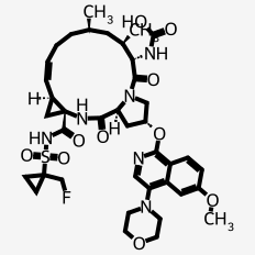 COc1ccc2c(O[C@@H]3C[C@H]4C(=O)N[C@]5(C(=O)NS(=O)(=O)C6(CF)CC6)C[C@H]5/C=C\CC[C@@H](C)C[C@@H](C)[C@H](NC(=O)O)C(=O)N4C3)ncc(N3CCOCC3)c2c1